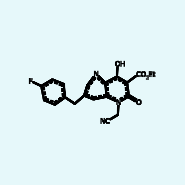 CCOC(=O)c1c(O)c2ncc(Cc3ccc(F)cc3)cc2n(CC#N)c1=O